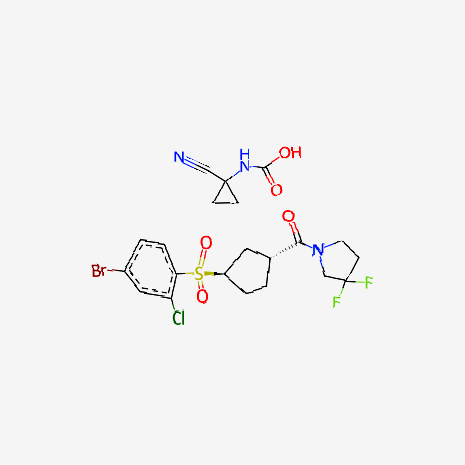 N#CC1(NC(=O)O)CC1.O=C([C@@H]1CC[C@@H](S(=O)(=O)c2ccc(Br)cc2Cl)C1)N1CCC(F)(F)C1